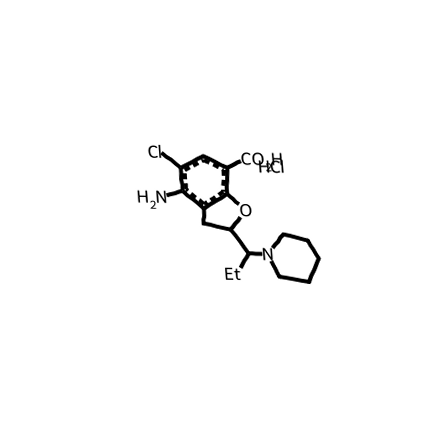 CCC(C1Cc2c(N)c(Cl)cc(C(=O)O)c2O1)N1CCCCC1.Cl